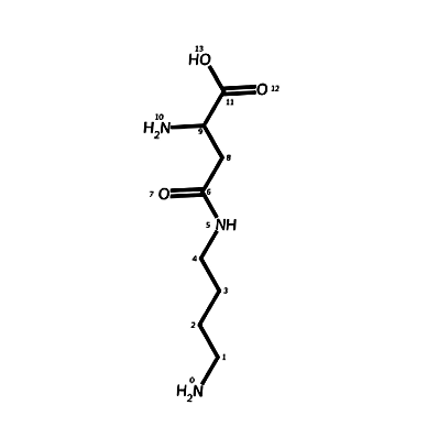 NCCCCNC(=O)CC(N)C(=O)O